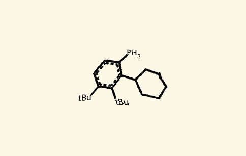 CC(C)(C)c1ccc(P)c(C2CCCCC2)c1C(C)(C)C